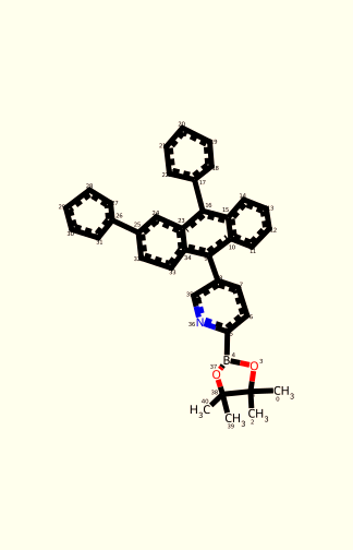 CC1(C)OB(c2ccc(-c3c4ccccc4c(-c4ccccc4)c4cc(-c5ccccc5)ccc34)cn2)OC1(C)C